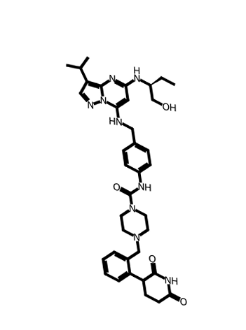 CC[C@@H](CO)Nc1cc(NCc2ccc(NC(=O)N3CCN(Cc4ccccc4C4CCC(=O)NC4=O)CC3)cc2)n2ncc(C(C)C)c2n1